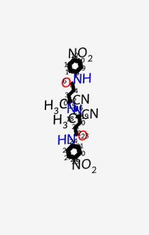 CC(C#N)(CCC(=O)Nc1ccc([N+](=O)[O-])cc1)N=NC(C)(C#N)CCC(=O)Nc1ccc([N+](=O)[O-])cc1